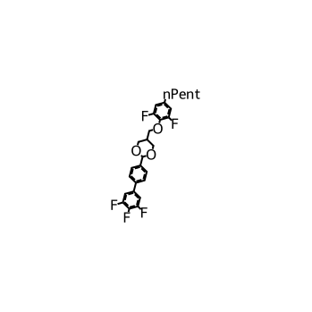 CCCCCc1cc(F)c(OCC2COC(c3ccc(-c4cc(F)c(F)c(F)c4)cc3)OC2)c(F)c1